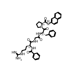 N=C(N)NCCC[C@H](NC(=O)c1ccccc1)C(=O)NCC(=O)N[C@@H](Cc1ccccc1)C(=O)N1CCC[C@H]1C(=O)Nc1ccc2ccccc2c1